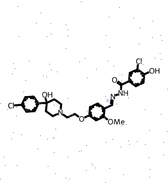 COc1cc(OCCN2CCC(O)(c3ccc(Cl)cc3)CC2)ccc1/C=N/NC(=O)c1ccc(O)c(Cl)c1